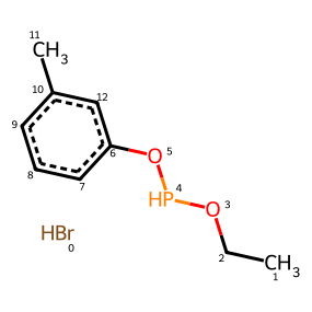 Br.CCOPOc1cccc(C)c1